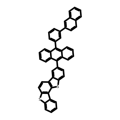 c1cc(-c2ccc3ccccc3c2)cc(-c2c3ccccc3c(-c3ccc4sc5c(ccc6sc7ccccc7c65)c4c3)c3ccccc23)c1